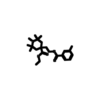 CCOC(=O)C1(CCOC(=O)c2cccc(C)c2)CC(C)(C)N(C)C(C)(C)C1